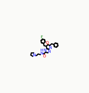 O=C(NCCCN1CCCC1)c1cnc2c(n1)C(Cc1ccc(F)cc1)C(=O)C(Cc1ccccc1)=N2